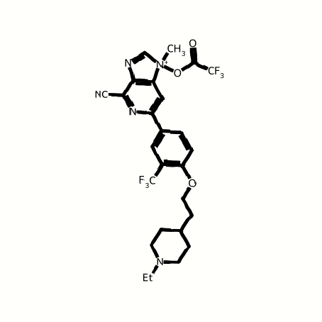 CCN1CCC(CCOc2ccc(-c3cc4c(c(C#N)n3)N=C[N+]4(C)OC(=O)C(F)(F)F)cc2C(F)(F)F)CC1